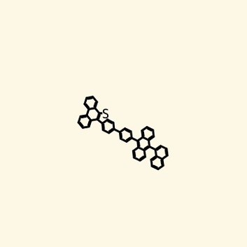 c1ccc2c(-c3c4ccccc4c(-c4ccc(-c5ccc6c(c5)sc5c7ccccc7c7ccccc7c65)cc4)c4ccccc34)cccc2c1